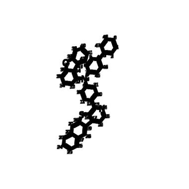 c1ccc(-c2ccc(N(c3ccc(-c4nccc5c4sc4cc6ccccc6cc45)cc3)c3cccc4oc5ccccc5c34)cc2)cc1